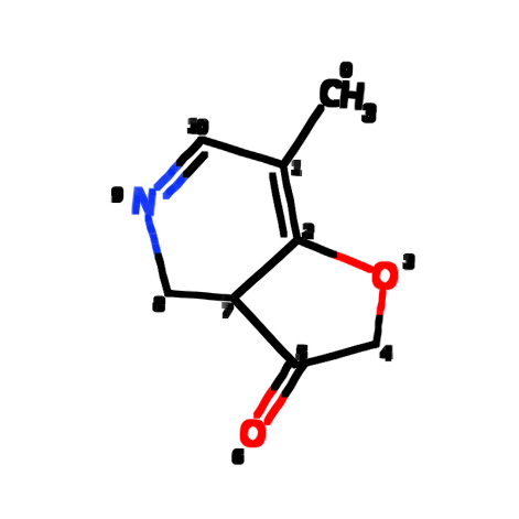 CC1=C2OCC(=O)C2CN=C1